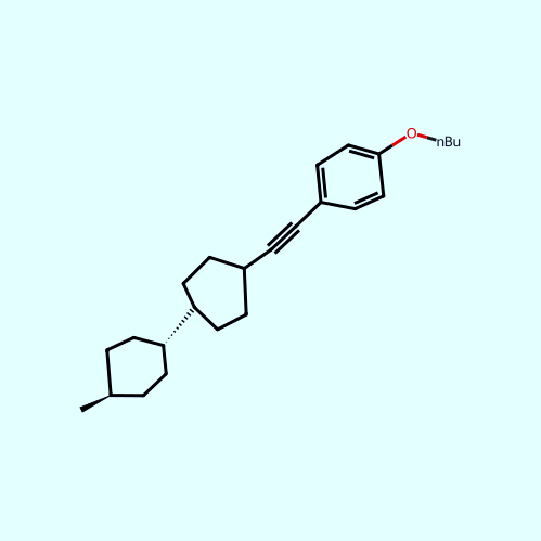 CCCCOc1ccc(C#CC2CCC([C@H]3CC[C@H](C)CC3)CC2)cc1